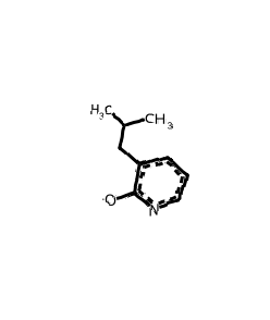 CC(C)Cc1cccnc1[O]